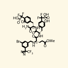 COC(=O)CC[C@H](NCc1cc(Br)cc(C2(C(F)(F)F)N=N2)c1)C(=O)N[C@@H](Cc1ccc(C(F)(F)P(=O)(O)O)cc1)C(=O)N[C@@H](Cc1ccc(C(F)(F)P(=O)(O)O)cc1)C(N)=O